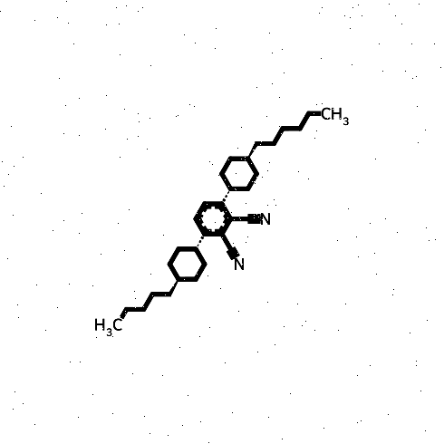 CCCCCC[C@H]1CC[C@H](c2ccc([C@H]3CC[C@H](CCCCC)CC3)c(C#N)c2C#N)CC1